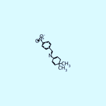 CC1(C)C=CC(N=Cc2ccc([N+](=O)[O-])cc2)=CC1